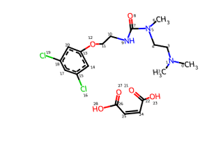 CN(C)CCN(C)C(=O)NCCOc1cc(Cl)cc(Cl)c1.O=C(O)/C=C\C(=O)O